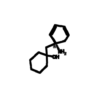 N[C@]1(CC2(O)CCCCC2)C=CC=CC1